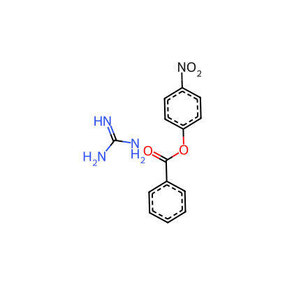 N=C(N)N.O=C(Oc1ccc([N+](=O)[O-])cc1)c1ccccc1